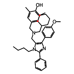 CCCCn1c(-c2ccccc2)nc(-c2ccc(OC)cc2)c1CN(Cc1cc(C)c(O)c(C)c1)CC1CCCCC1